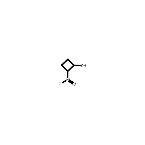 O=[N+]([O-])C1CCC1O